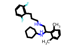 Cc1cccc(C)c1C(CNCCCc1c(F)cccc1F)NC1CCCCC1